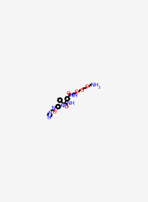 CN1CCN(CC(=O)N(C)c2ccc(N/C(=C3\C(=O)Nc4cc(C(=O)NCCOCCOCCOCCN)ccc43)c3ccccc3)cc2)CC1